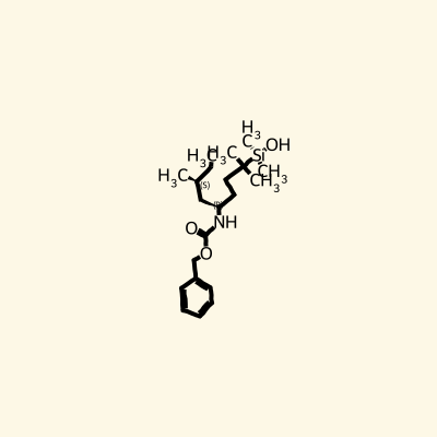 CC[C@H](C)C[C@@H](CCC(C)(C)[Si](C)(C)O)NC(=O)OCc1ccccc1